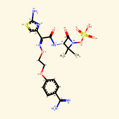 CC1(C)[C@H](NC(=O)C(=NOCCOc2ccc(C(=N)N)cc2)c2csc(N)n2)C(=O)N1OS(=O)(=O)O